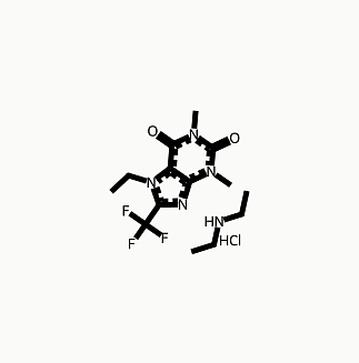 CCNCC.CCn1c(C(F)(F)F)nc2c1c(=O)n(C)c(=O)n2C.Cl